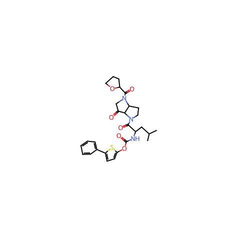 CC(C)CC(NC(=O)Oc1ccc(-c2ccccc2)s1)C(=O)N1CCC2C1C(=O)CN2C(=O)C1CCCO1